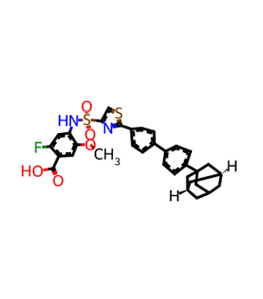 COc1cc(C(=O)O)c(F)cc1NS(=O)(=O)c1csc(-c2ccc(-c3ccc(C45CC6C[C@H](C4)C[C@H](C6)C5)cc3)cc2)n1